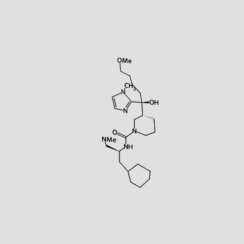 CNC[C@H](CC1CCCCC1)NC(=O)N1CCC[C@@H]([C@@](O)(CCCCOC)c2nccn2C)C1